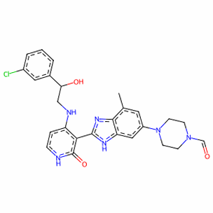 Cc1cc(N2CCN(C=O)CC2)cc2[nH]c(-c3c(NCC(O)c4cccc(Cl)c4)cc[nH]c3=O)nc12